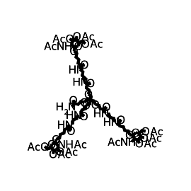 CC(=O)NC1C(OCCCCC(=O)NCCCNC(=O)CCOCC(COCCC(N)=O)(COCCC(=O)NCCCNC(=O)CCCCOC2OC(COC(C)=O)C(OC(C)=O)C(OC(C)=O)C2NC(C)=O)COCCC(=O)NCCCNC(=O)CCCCOC2OC(COC(C)=O)C(OC(C)=O)C(OC(C)=O)C2NC(C)=O)OC(COC(C)=O)C(OC(C)=O)C1OC(C)=O